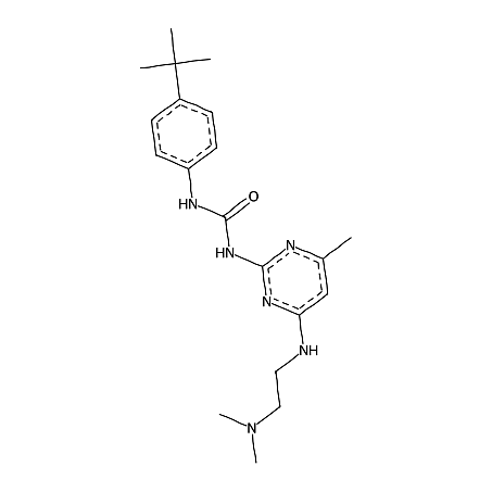 Cc1cc(NCCN(C)C)nc(NC(=O)Nc2ccc(C(C)(C)C)cc2)n1